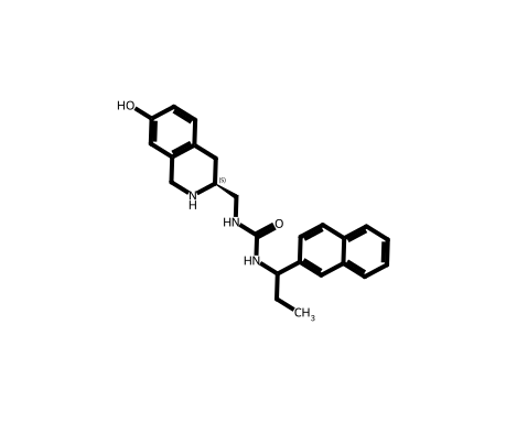 CCC(NC(=O)NC[C@@H]1Cc2ccc(O)cc2CN1)c1ccc2ccccc2c1